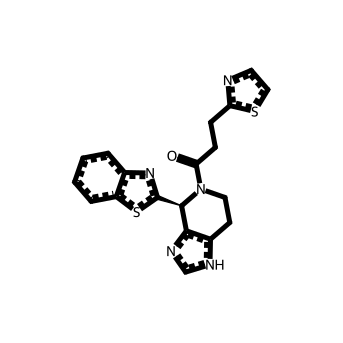 O=C(CCc1nccs1)N1CCc2[nH]cnc2[C@H]1c1nc2ccccc2s1